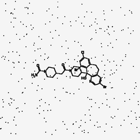 NC(=O)N1CCC(CC(=O)N2CCC(C3(O)c4ncc(Br)cc4CCc4cc(Cl)cc(Br)c43)CC2)CC1